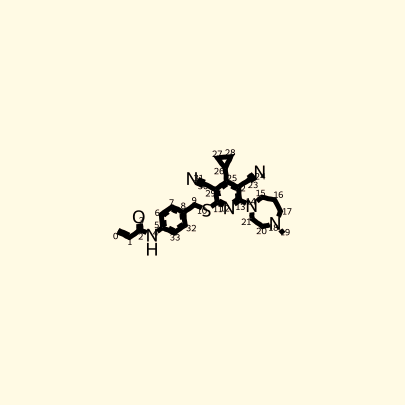 C=CC(=O)Nc1ccc(CSc2nc(N3CCCN(C)CC3)c(C#N)c(C3CC3)c2C#N)cc1